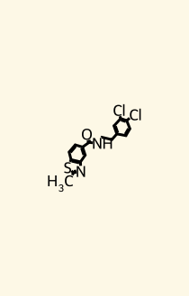 Cc1nc2cc(C(=O)NCCc3ccc(Cl)c(Cl)c3)ccc2s1